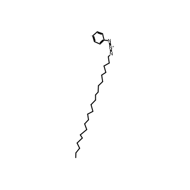 CCCCCCCCCCCCCCCCCCCCCCN=[N+]=Nc1cc[c]cc1